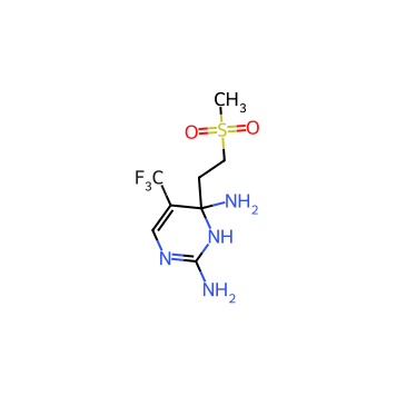 CS(=O)(=O)CCC1(N)NC(N)=NC=C1C(F)(F)F